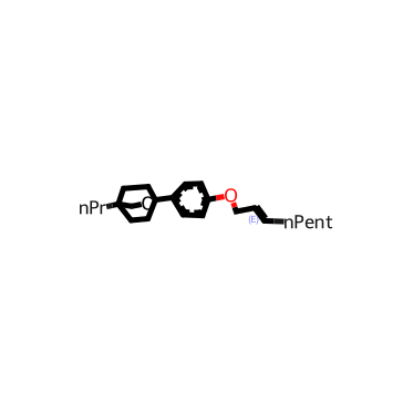 CCCCC/C=C/COc1ccc(C23CCC(CCC)(CC2)CC3)cc1